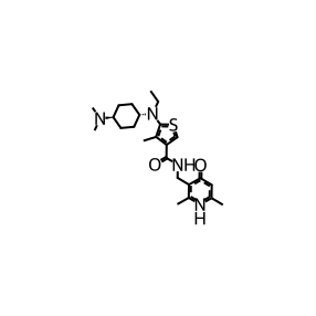 CCN(c1scc(C(=O)NCc2c(C)[nH]c(C)cc2=O)c1C)[C@H]1CC[C@H](N(C)C)CC1